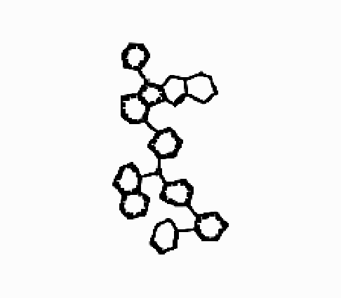 C1=CCCC(c2ccccc2-c2ccc(N(c3cccc(-c4cccc5c4c4c(n5-c5ccccc5)CC5CCCCC5=C4)c3)c3cccc4ccccc34)cc2)=C1